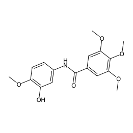 COc1ccc(NC(=O)c2cc(OC)c(OC)c(OC)c2)cc1O